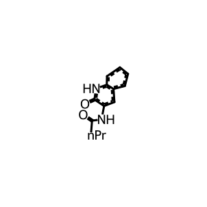 CCCC(=O)Nc1cc2ccccc2[nH]c1=O